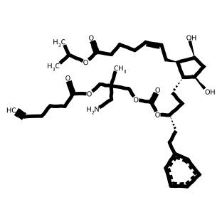 C#CCCCC(=O)OCC(C)(CN)COC(=O)O[C@@H](CCc1ccccc1)CC[C@@H]1[C@@H](C/C=C\CCCC(=O)OC(C)C)[C@@H](O)C[C@H]1O